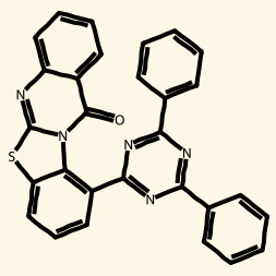 O=c1c2ccccc2nc2sc3cccc(-c4nc(-c5ccccc5)nc(-c5ccccc5)n4)c3n12